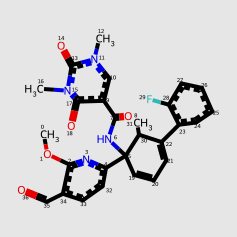 COc1nc(C2(NC(=O)c3cn(C)c(=O)n(C)c3=O)C=CC=C(c3ccccc3F)C2C)ccc1C=O